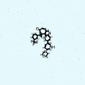 O=C1C=Cc2cnc3c(c2C24CC2(c2cccc(C(F)(F)F)c2)C14)=NCC(C1=CNC=C(N2CCOCC2)C=C1)=CC=3